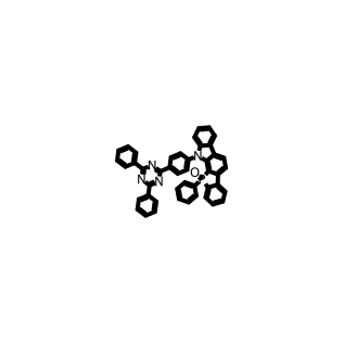 O=P1(c2ccccc2)c2ccccc2-c2ccc3c4ccccc4n(-c4ccc(-c5nc(-c6ccccc6)nc(-c6ccccc6)n5)cc4)c3c21